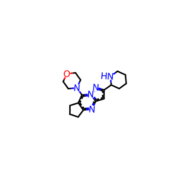 c1c(C2CCCCN2)nn2c(N3CCOCC3)c3c(nc12)CCC3